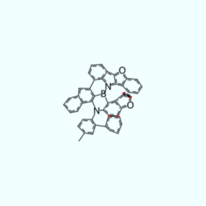 Cc1ccc(N2c3ccc4oc5ccccc5c4c3B3c4c(cc5ccccc5c42)-c2cccc4c5oc6ccccc6c5n3c24)c(-c2ccccc2)c1